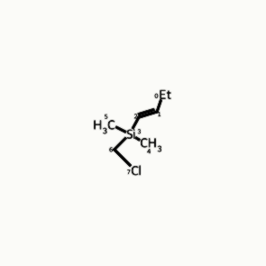 CC/C=C/[Si](C)(C)CCl